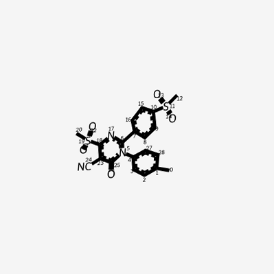 Cc1ccc(-n2c(-c3ccc(S(C)(=O)=O)cc3)nc(S(C)(=O)=O)c(C#N)c2=O)cc1